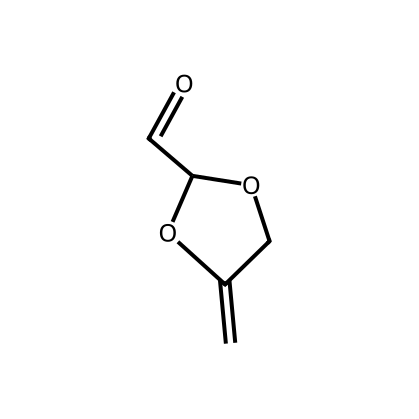 C=C1COC(C=O)O1